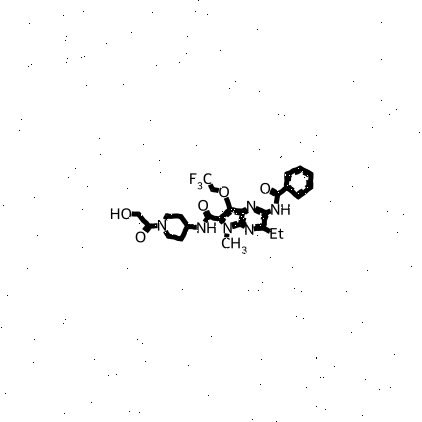 CCc1nc2c(nc1NC(=O)c1ccccc1)c(OCC(F)(F)F)c(C(=O)NC1CCN(C(=O)CO)CC1)n2C